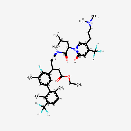 CCOC(=O)CC(C=C=NC(=O)C(CC(C)C)n1cc(CCCN(C)C)c(C(F)(F)F)cc1=O)c1cc(-c2c(C)ccc(C(F)(F)F)c2C)cc(C)c1F